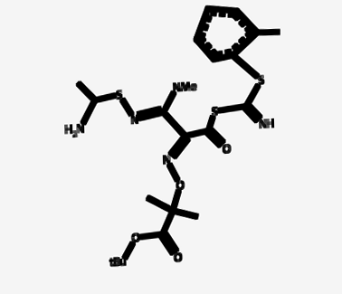 CNC(=N\SC(C)N)/C(=N/OC(C)(C)C(=O)OC(C)(C)C)C(=O)SC(=N)Sc1ccccc1C